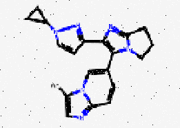 CC(=O)c1cnc2ccc(-c3c(-c4ccn(C5CC5)n4)nc4n3CCC4)cn12